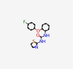 O=C(Nc1nccs1)Nc1ccccc1Oc1ccc(F)cc1